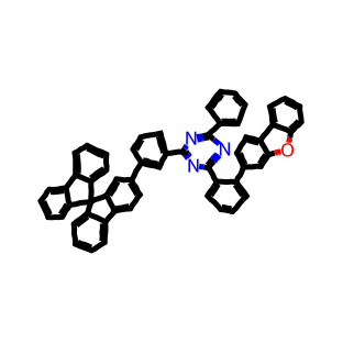 c1ccc(-c2nc(-c3cccc(-c4ccc5c(c4)C4(c6ccccc6-c6ccccc64)c4ccccc4-5)c3)nc(-c3ccccc3-c3ccc4c(c3)oc3ccccc34)n2)cc1